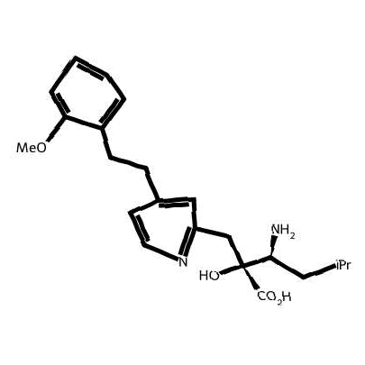 COc1ccccc1CCc1ccnc(C[C@](O)(C(=O)O)[C@@H](N)CC(C)C)c1